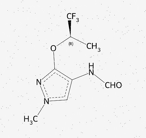 C[C@@H](Oc1nn(C)cc1NC=O)C(F)(F)F